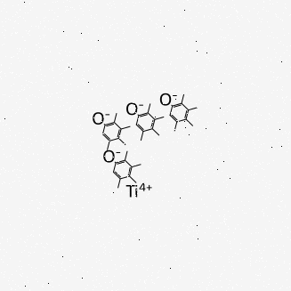 Cc1cc([O-])c(C)c(C)c1C.Cc1cc([O-])c(C)c(C)c1C.Cc1cc([O-])c(C)c(C)c1C.Cc1cc([O-])c(C)c(C)c1C.[Ti+4]